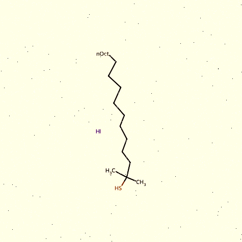 CCCCCCCCCCCCCCCCCC(C)(C)S.I